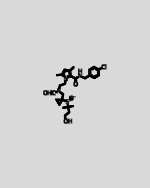 Cc1cc(C)n(CCN(C=O)CC2([S+]([O-])C(C)(C)CCO)CC2)c1C(=O)NCc1ccc(Cl)cc1